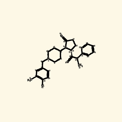 Cc1cc(CN2CCC(N3C(=O)CC[C@@H]3C(=O)N(C)c3ccccn3)CC2)ccc1Cl